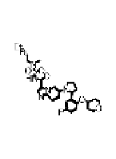 CCOCCN(C)S(=O)(=O)NC(=O)c1cnc2ccc(N3CCCC3c3cc(F)ccc3OC3CCOCC3)cn12